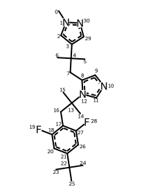 Cn1cc(C(C)(C)Cc2cncn2C(C)(C)Cc2c(F)cc(C(C)(C)C)cc2F)cn1